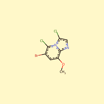 COc1cc(Br)c(Cl)n2c(Cl)cnc12